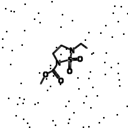 CCN1CCN(C(=O)OC)S1(=O)=O